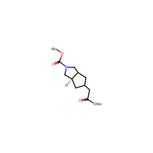 COC(=O)CC1CC2CN(C(=O)OC(C)(C)C)C[C@@H]2C1